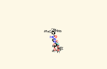 COc1cc(C(=O)Nc2ccn([C@@H]3O[C@@H]4CO[Si](C(C)C)(C(C)C)O[Si](C(C)C)(C(C)C)O[C@H]4C3(F)F)c(=O)n2)cc(OC)c1OC